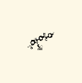 O=C(O)COn1c(-c2ccc(NC(=O)c3ccc(F)cc3)cc2)nc2ccc([N+](=O)[O-])cc21